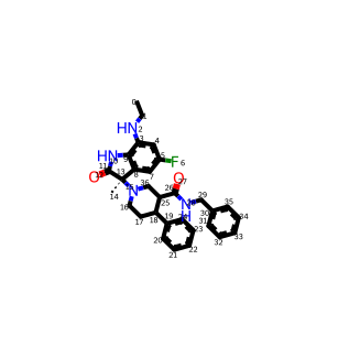 CCNc1cc(F)cc2c1NC(=O)[C@]2(C)N1CCC(c2ccccc2)C(C(=O)NCc2ccccc2)C1